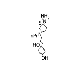 CCCN(CCCC1(O)C=CC(O)=CC1)C1CCc2nc(N)sc2C1